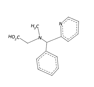 CN(CC(=O)O)C(c1ccccc1)c1ccccn1